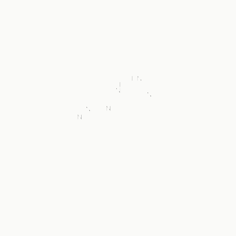 Fc1cccc(-c2cc3nc(NCc4nc5ccccc5[nH]4)ccn3n2)c1